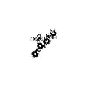 O=C(Nc1cccnc1)N1CCN(Cc2cccc(OCc3ccccc3)c2)CC1.O=C(O)C(=O)O